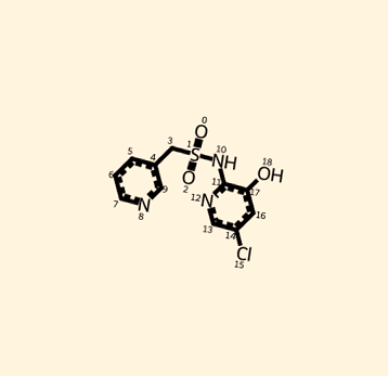 O=S(=O)(Cc1cccnc1)Nc1ncc(Cl)cc1O